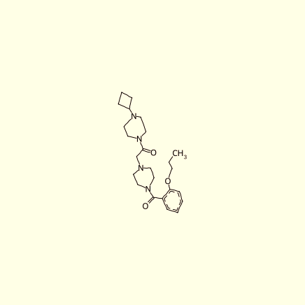 CCCOc1ccccc1C(=O)N1CCN(CC(=O)N2CCN(C3CCC3)CC2)CC1